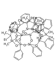 CCC(C)(C)[Si](C)(C)O[Si]1(c2ccccc2)O[Si]2(c3ccccc3)O[Si]3(c4ccccc4)O[Si](O[Si](C)(C)C)(c4ccccc4)O[Si]4(c5ccccc5)O[Si](c5ccccc5)(O1)O[Si](c1ccccc1)(O2)O[Si](C)(C)C(C)(C)CC(C)(CC)[Si](C)(C)O[Si](c1ccccc1)(O3)O4